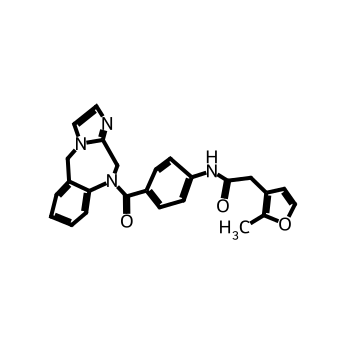 Cc1occc1CC(=O)Nc1ccc(C(=O)N2Cc3nccn3Cc3ccccc32)cc1